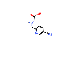 CN(CC(=O)O)Cc1ccc(C#N)cn1